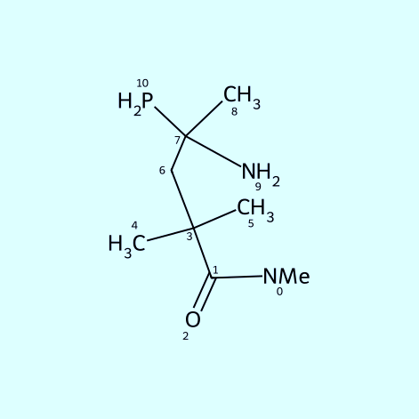 CNC(=O)C(C)(C)CC(C)(N)P